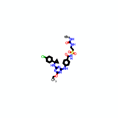 CC(C)(C)NC(=O)NCCS(=O)(=O)NC(=O)c1ccc(Nc2nc(NC3(c4ccc(Cl)cc4)CC3)nc(OCC(F)(F)F)n2)cc1